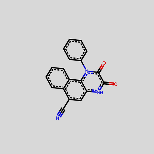 N#Cc1cc2[nH]c(=O)c(=O)n(-c3ccccc3)c2c2ccccc12